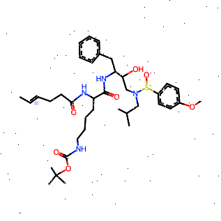 C/C=C/CCC(=O)NC(CCCCNC(=O)OC(C)(C)C)C(=O)NC(Cc1ccccc1)C(O)CN(CC(C)C)[S+]([O-])c1ccc(OC)cc1